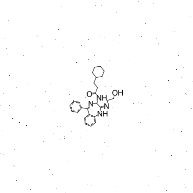 O=C(CCC1CCCCC1)NC1N=C(c2ccccc2)c2ccccc2N/C1=N/CCO